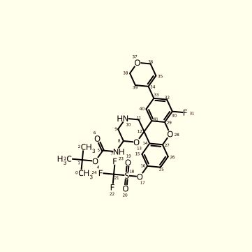 CC(C)(C)OC(=O)NC1CNCC2(O1)c1cc(OS(=O)(=O)C(F)(F)F)ccc1Oc1c(F)cc(C3=CCOCC3)cc12